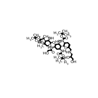 CN(C(=O)OC(C)(C)C)[C@@H]1[C@@H](O)[C@@H](O[C@H]2[C@H](NC(=O)CO)C[C@H](NC(=O)OC(C)(C)C)C([C@H]3OC(CNCC(O)CO)=CC[C@H]3NC(=O)OC(C)(C)C)[C@@H]2O)OC[C@]1(C)O